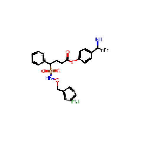 CCCC(=N)c1ccc(OC(=O)CCC(c2ccccc2)S(=O)(=O)NOCc2ccccc2)cc1.Cl